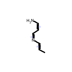 C/C=C/N=C\C=C/N